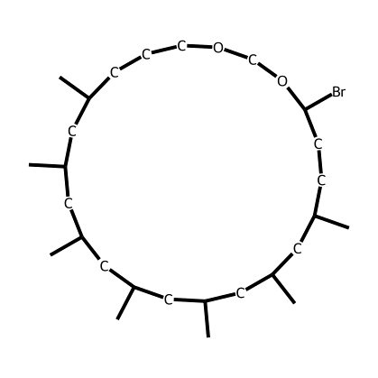 CC1CCCOCOC(Br)CCC(C)CC(C)CC(C)CC(C)CC(C)CC(C)C1